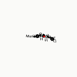 COCc1ccc(C(=O)NC23CC(C2)C(NC(=O)COc2ccc(Cl)c(F)c2)C3)cc1